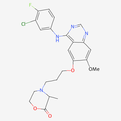 COc1cc2ncnc(Nc3ccc(F)c(Cl)c3)c2cc1OCCCN1CCOC(=O)C1C